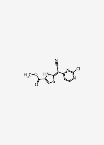 COC(=O)C1=CSC(=C(C#N)c2ccnc(Cl)n2)N1